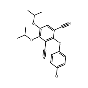 CC(C)Oc1cc(C#N)c(Oc2ccc(Cl)cc2)c(C#N)c1OC(C)C